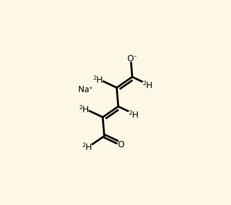 [2H]C(=O)/C([2H])=C([2H])/C([2H])=C(\[2H])[O-].[Na+]